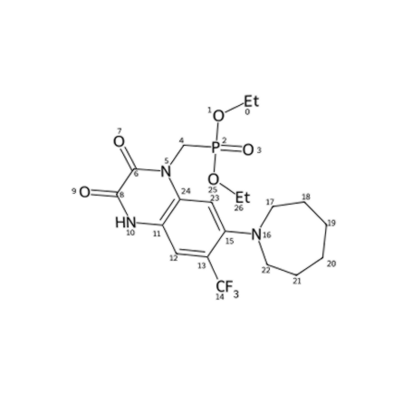 CCOP(=O)(Cn1c(=O)c(=O)[nH]c2cc(C(F)(F)F)c(N3CCCCCC3)cc21)OCC